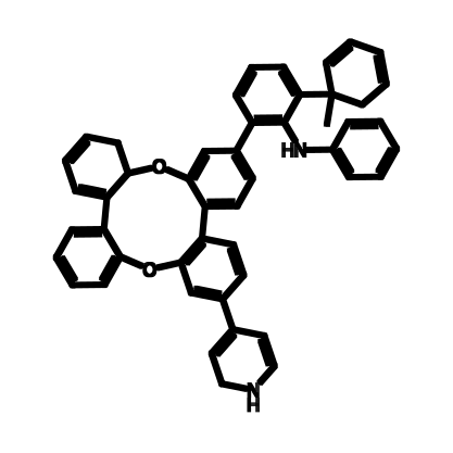 CC1(c2cccc(-c3ccc4c(c3)OC3CC=CC=C3c3ccccc3Oc3cc(C5=CCNC=C5)ccc3-4)c2Nc2ccccc2)C=CC=CC1